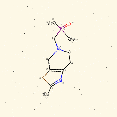 COP(=O)(CN1CCc2nc(C(C)(C)C)sc2C1)OC